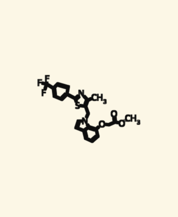 COC(=O)COc1cccc2ccn(Cc3sc(-c4ccc(C(F)(F)F)cc4)nc3C)c12